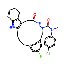 CN(C(=O)N1Cc2cc(F)cc(c2)CCCc2[nH]c3c(c2CC(=O)N1)CCC=C3)c1ccc(Cl)cc1